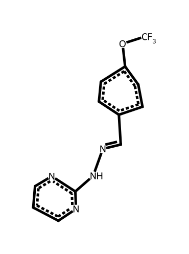 FC(F)(F)Oc1ccc(C=NNc2ncccn2)cc1